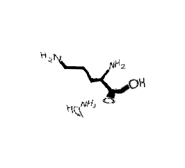 Cl.N.NCCCC(N)C(=O)O